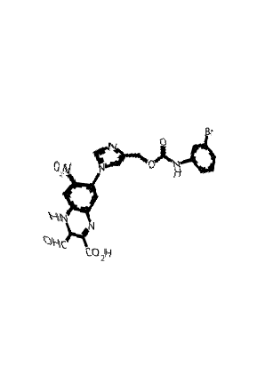 O=CC1Nc2cc([N+](=O)[O-])c(-n3cnc(COC(=O)Nc4cccc(Br)c4)c3)cc2N=C1C(=O)O